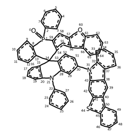 O=P1(c2ccccc2)c2ccccc2C2(c3ccccc3N(c3ccccc3)c3cc(-n4c5ccccc5c5cc6c(cc54)sc4ccccc46)ccc32)c2cc3c(cc21)oc1ccccc13